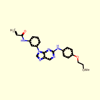 C=CC(=O)Nc1cccc(-n2cnc3cnc(Nc4ccc(OCCOC)cc4)nc32)c1